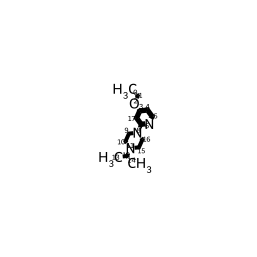 CCOc1ccnc(N2CCN(C(C)C)CC2)c1